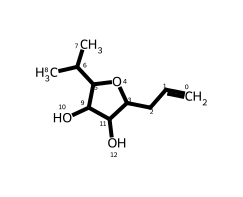 C=CCC1OC(C(C)C)C(O)C1O